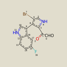 O=CC(=O)c1[nH]cc(Br)c1-c1c[nH]c2ccc(F)cc12